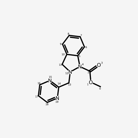 COC(=O)N1c2ccccc2CN1Cc1ncccn1